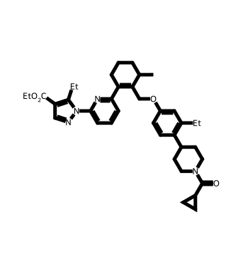 CCOC(=O)c1cnn(-c2cccc(C3=C(COc4ccc(C5CCN(C(=O)C6CC6)CC5)c(CC)c4)C(C)CCC3)n2)c1CC